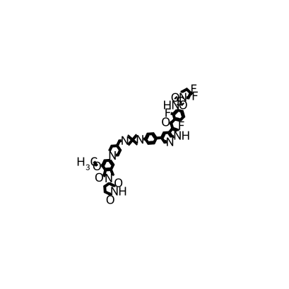 COc1cc(N2CCC(CN3CC4(C3)CN(c3ccc(-c5cnc6[nH]cc(C(=O)c7c(F)ccc(NS(=O)(=O)N8CCC(F)(F)C8)c7F)c6c5)cc3)C4)CC2)cc2c1C(=O)N(C1CCC(=O)NC1=O)C2